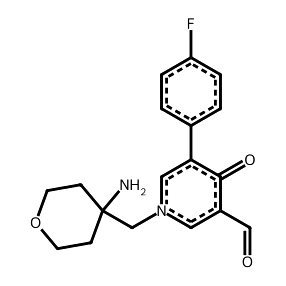 NC1(Cn2cc(C=O)c(=O)c(-c3ccc(F)cc3)c2)CCOCC1